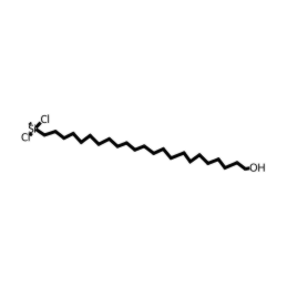 C[Si](Cl)(Cl)CCCCCCCCCCCCCCCCCCCCCCCO